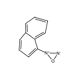 c1ccc2c([N+]3[N-]O3)cccc2c1